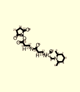 CC1CCCC(C)N1C[13C](=O)[15NH]CCC(=O)[15NH]CCC(=O)ON1C(=O)CCC1=O